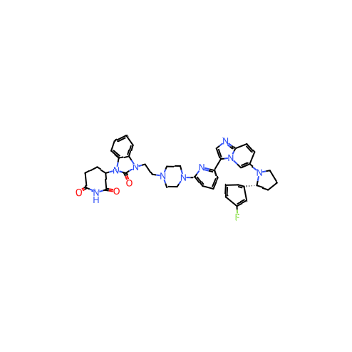 O=C1CCC(n2c(=O)n(CCN3CCN(c4cccc(-c5cnc6ccc(N7CCC[C@@H]7c7cccc(F)c7)cn56)n4)CC3)c3ccccc32)C(=O)N1